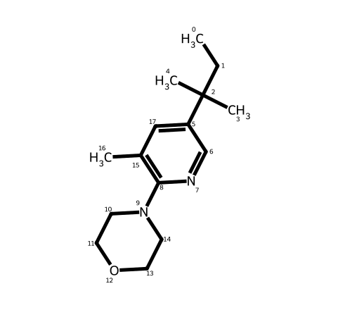 CCC(C)(C)c1cnc(N2CCOCC2)c(C)c1